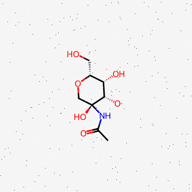 CC(=O)N[C@]1(O)CO[C@H](CO)[C@H](O)[C@@H]1[O]